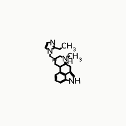 CCc1nccn1C[C@@H]1CC2c3cccc4[nH]cc(c34)C[C@H]2N(C)C1